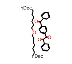 CCCCCCCCCCCCCCCCOCCCCCCCCCCCCCCCC.O=C(C(=O)c1ccc(C(=O)c2ccccc2)cc1)c1ccccc1